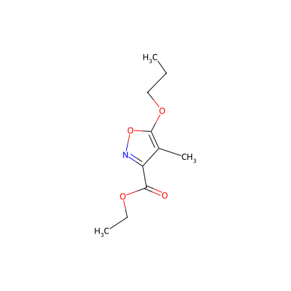 CCCOc1onc(C(=O)OCC)c1C